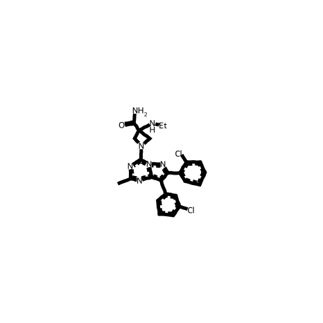 CCNC1(C(N)=O)CN(c2nc(C)nc3c(-c4cccc(Cl)c4)c(-c4ccccc4Cl)nn23)C1